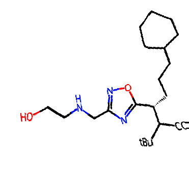 CC(C)(C)C(C(=O)O)[C@@H](CCCC1CCCCC1)c1nc(CNCCO)no1